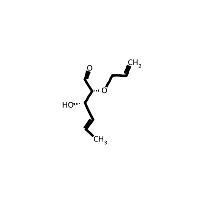 C=CCO[C@@H](C=O)[C@@H](O)/C=C/C